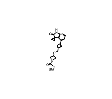 CC(C)(C)OC(=O)N1CC(OCC23CC(c4cccc5c4C4(CC4)C(=O)N5)(C2)C3)C1